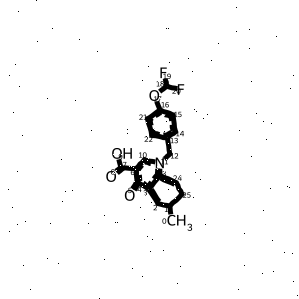 CC1C=c2c(=O)c(C(=O)O)cn(Cc3ccc(OC(F)F)cc3)c2=CC1